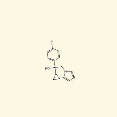 OC(Cn1cncn1)(c1ccc(Cl)cc1)C1CC1